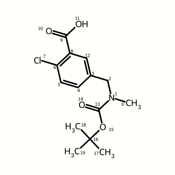 CN(Cc1ccc(Cl)c(C(=O)O)c1)C(=O)OC(C)(C)C